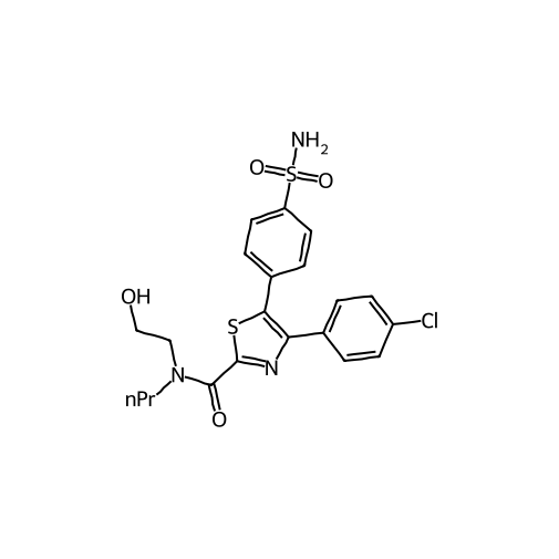 CCCN(CCO)C(=O)c1nc(-c2ccc(Cl)cc2)c(-c2ccc(S(N)(=O)=O)cc2)s1